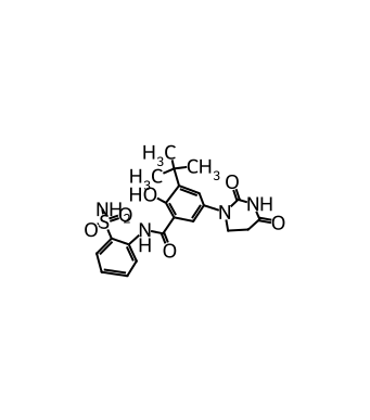 CC(C)(C)c1cc(N2CCC(=O)NC2=O)cc(C(=O)Nc2ccccc2S(N)(=O)=O)c1O